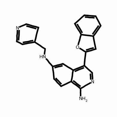 Nc1ncc(-c2cc3ccccc3o2)c2cc(NCc3ccncc3)ccc12